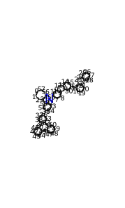 C1=CCc2c(n(-c3ccc4c(c3)Cc3ccc(-c5cccc6c5Cc5ccccc5-6)cc3-4)c3ccc(-c4ccc5c6ccccc6c6ccccc6c5c4)cc23)C=C1